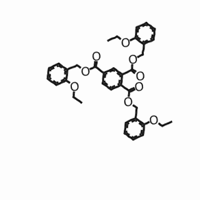 CCOc1ccccc1COC(=O)c1ccc(C(=O)OCc2ccccc2OCC)c(C(=O)OCc2ccccc2OCC)c1